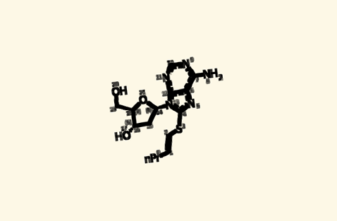 CCCC=CSc1nc2c(N)ncnc2n1[C@H]1C[C@H](O)[C@@H](CO)O1